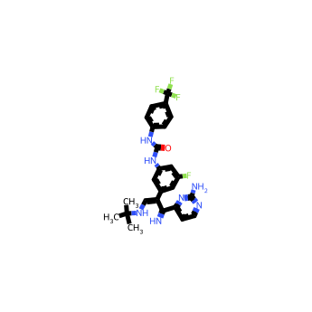 CC(C)(C)N/C=C(\C(=N)c1ccnc(N)n1)c1cc(F)cc(NC(=O)Nc2ccc(C(F)(F)F)cc2)c1